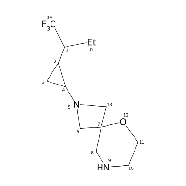 CCC(C1CC1N1CC2(CNCCO2)C1)C(F)(F)F